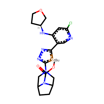 CC(C)(C)OC(=O)N1C2CCC1CN(c1nnc(-c3cnc(Cl)cc3N[C@H]3CCOC3)s1)C2